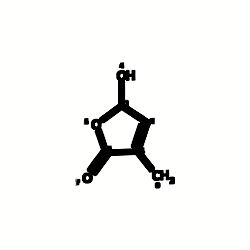 CC1=CC(O)OC1=O